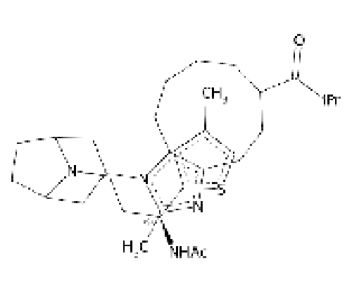 CC(=O)N[C@@H](CCN1C2CCC1CC(n1c(C)nc3c1CCCCC(C(=O)C(C)C)CC3)C2)c1cc(C)cs1